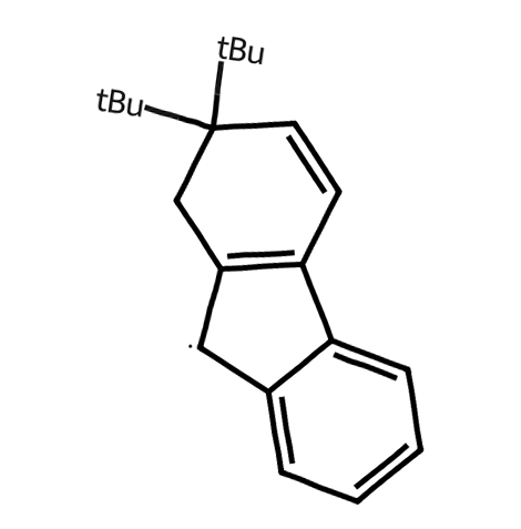 CC(C)(C)C1(C(C)(C)C)C=CC2=C([CH]c3ccccc32)C1